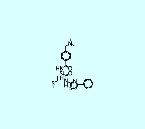 CSCC[Si@H](NC(=O)c1ccc(CN(C)C)cc1)C(=O)Nc1nc(-c2ccccc2)cs1